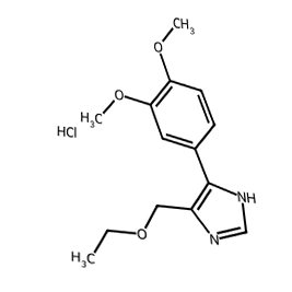 CCOCc1nc[nH]c1-c1ccc(OC)c(OC)c1.Cl